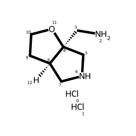 Cl.Cl.NC[C@]12CNC[C@H]1CCO2